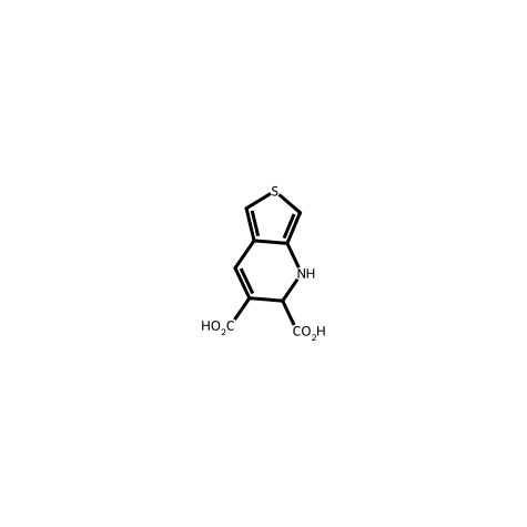 O=C(O)C1=Cc2cscc2NC1C(=O)O